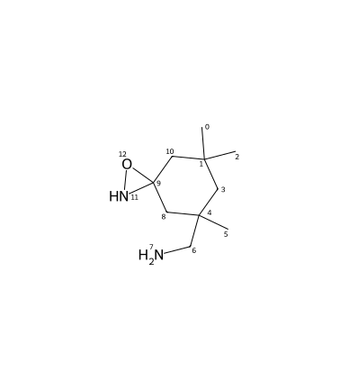 CC1(C)CC(C)(CN)CC2(C1)NO2